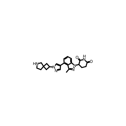 Cc1nn(C2CCC(=O)NC2=O)c2cccc(-c3cnn(C4CC5(CCNC5)C4)c3)c12